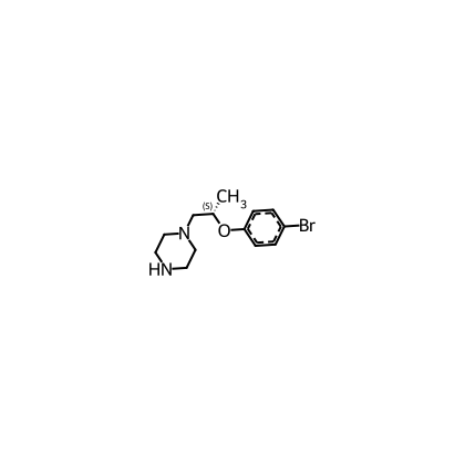 C[C@@H](CN1CCNCC1)Oc1ccc(Br)cc1